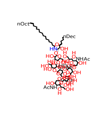 CCCCCCCC/C=C\CCCCCCCCCCCCCC(=O)N[C@@H](CO[C@@H]1OC(CO)[C@@H](O[C@@H]2OC(CO)[C@H](O)[C@H](O[C@@H]3OC(CO[C@]4(C(=O)O)CC(O)[C@@H](NC(C)=O)C([C@H](O)[C@H](O)CO)O4)[C@@H](O[C@H]4OC(C)[C@@H](O)C(O)[C@@H]4O)[C@H](O[C@@H]4OC(CO)[C@H](O)[C@H](O[C@]5(C(=O)O)CC(O)[C@@H](NC(C)=O)C([C@H](O)[C@H](O)CO)O5)C4O)C3NC(C)=O)C2O)[C@H](O)C1O)[C@H](O)/C=C/CCCCCCCCCCCCC